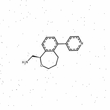 NC[C@@H]1OCCCc2c(-c3ccncc3)cccc21